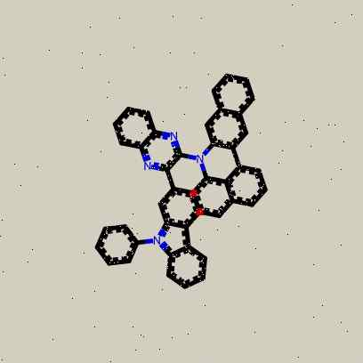 c1ccc(-n2c3ccccc3c3ccc(-c4nc5ccccc5nc4N4c5cc6ccccc6cc5-c5cccc6cccc4c56)cc32)cc1